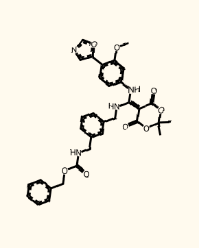 COc1cc(NC(NCc2cccc(CNC(=O)OCc3ccccc3)c2)=C2C(=O)OC(C)(C)OC2=O)ccc1-c1cnco1